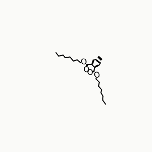 C#C.CCCCCCCCOC(=O)c1ccccc1C(=O)OCCCCCCCC